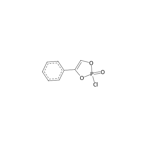 O=P1(Cl)OC=C(c2ccccc2)O1